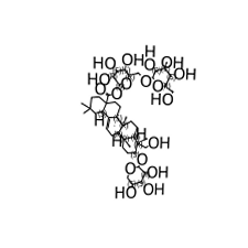 CC1(C)CCC2(C(=O)O[C@@H]3O[C@H](COC4O[C@H](CO)[C@@H](O)[C@H](O)[C@H]4O)[C@@H](O)[C@H](O)[C@H]3O)CC[C@]3(C)C(=CC[C@@H]4[C@@]5(C)CC[C@H](OC6OC[C@H](O)[C@H](O)[C@H]6O)[C@@](C)(CO)[C@@H]5CC[C@]43C)[C@@H]2C1